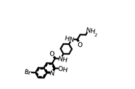 NCCC(=O)NC1CCC(NC(=O)c2cc3cc(Br)ccc3nc2O)CC1